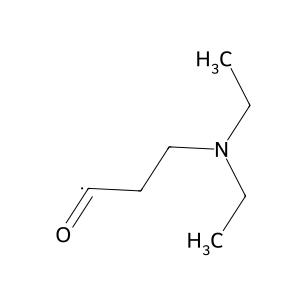 CCN(CC)CC[C]=O